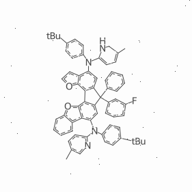 CC1=CC=C(N(c2ccc(C(C)(C)C)cc2)c2cc3c(c4occc24)-c2c(cc(N(c4ccc(C(C)(C)C)cc4)c4ccc(C)cn4)c4c2oc2ccccc24)C3(c2ccccc2)c2cccc(F)c2)NC1